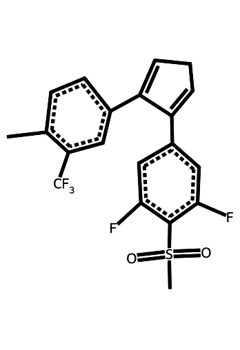 Cc1ccc(C2=CCC=C2c2cc(F)c(S(C)(=O)=O)c(F)c2)cc1C(F)(F)F